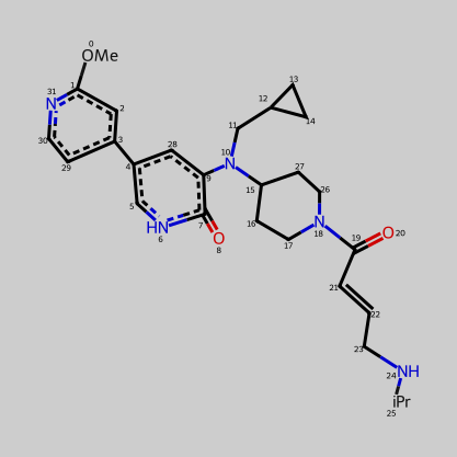 COc1cc(-c2c[nH]c(=O)c(N(CC3CC3)C3CCN(C(=O)C=CCNC(C)C)CC3)c2)ccn1